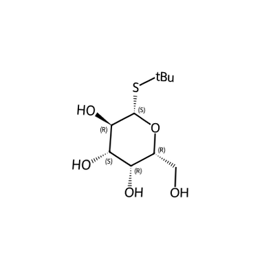 CC(C)(C)S[C@@H]1O[C@H](CO)[C@H](O)[C@H](O)[C@H]1O